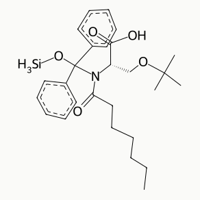 CCCCCCC(=O)N([C@@H](COC(C)(C)C)C(=O)O)C(O[SiH3])(c1ccccc1)c1ccccc1